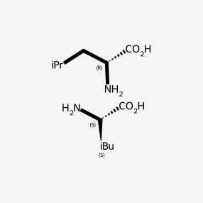 CC(C)C[C@@H](N)C(=O)O.CC[C@H](C)[C@H](N)C(=O)O